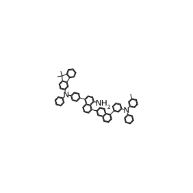 Cc1cccc(N(c2ccccc2)c2cccc(-c3cccc4cc(-c5cccc6c(-c7ccc(N(c8ccccc8)c8ccc9c(c8)-c8ccccc8C9(C)C)cc7)ccc(N)c56)ccc34)c2)c1